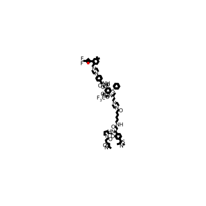 Cc1cc(CC(=O)N2CCC[C@H]2C(=O)N[C@@H](CC(=O)NCCCCCC(=O)N2CCN(CC[C@H](CSc3ccccc3)Nc3ccc(S(=O)(=O)NC(=O)c4ccc(N5CCN(CC6=C(C78CC(C(F)F)(C7)C8)CC(C)(C)CC6)CC5)cc4)cc3S(=O)(=O)C(F)(F)F)CC2)c2ccc(-c3scnc3C)cc2)on1